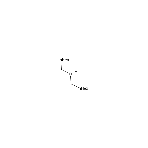 CCCCCCCOCCCCCCC.[Li]